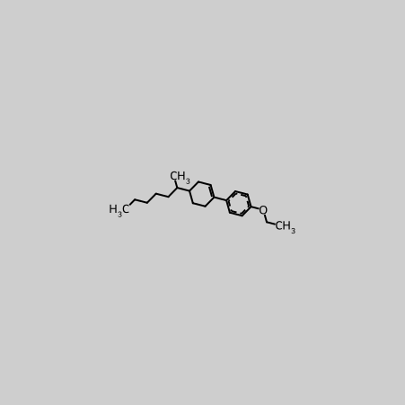 CCCCCC(C)C1CC=C(c2ccc(OCC)cc2)CC1